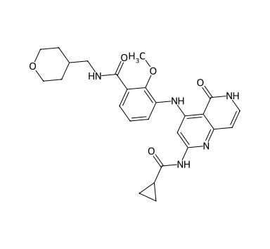 COc1c(Nc2cc(NC(=O)C3CC3)nc3cc[nH]c(=O)c23)cccc1C(=O)NCC1CCOCC1